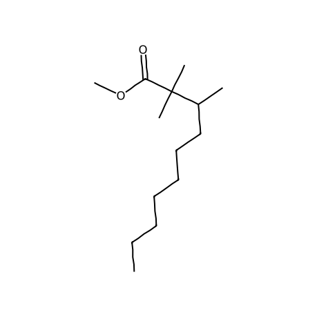 CCCCCCCC(C)C(C)(C)C(=O)OC